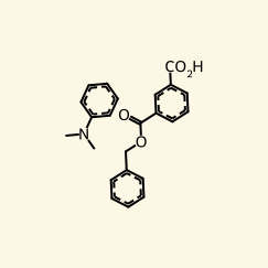 CN(C)c1ccccc1.O=C(O)c1cccc(C(=O)OCc2ccccc2)c1